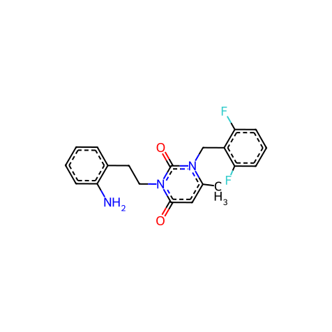 Cc1cc(=O)n(CCc2ccccc2N)c(=O)n1Cc1c(F)cccc1F